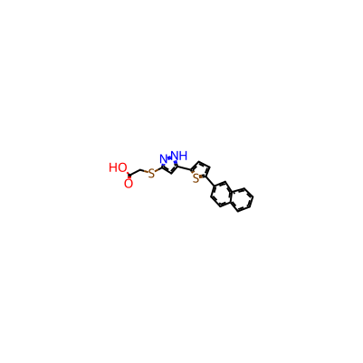 O=C(O)CSc1cc(-c2ccc(-c3ccc4ccccc4c3)s2)[nH]n1